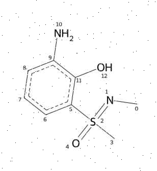 CN=S(C)(=O)c1cccc(N)c1O